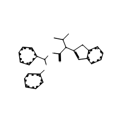 CC(C)C(C(=O)OC(Oc1ccccc1)c1ccccc1)C1=Cc2ccccc2C1